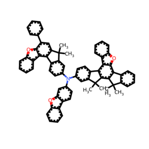 CC1(C)c2cc(N(c3ccc4c(c3)C(C)(C)c3c5c(c6oc7ccccc7c6c3-4)-c3ccccc3C5(C)C)c3ccc4c(c3)oc3ccccc34)ccc2-c2c1cc(-c1ccccc1)c1oc3ccccc3c21